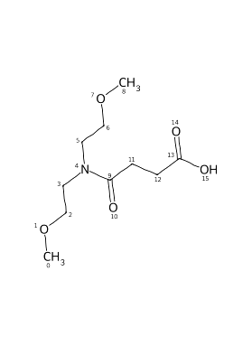 COCCN(CCOC)C(=O)CCC(=O)O